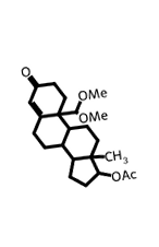 COC(OC)C12CCC(=O)C=C1CCC1C3CCC(OC(C)=O)C3(C)CCC12